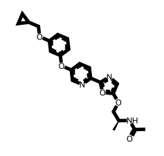 CC(=O)N[C@@H](C)COc1cnc(-c2ccc(Oc3cccc(OCC4CC4)c3)cn2)o1